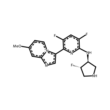 COc1ccn2c(-c3nc(N[C@H]4CNC[C@@H]4F)c(F)cc3F)cnc2c1